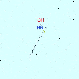 CCCCCCCCCCCCSC(C)NCCO